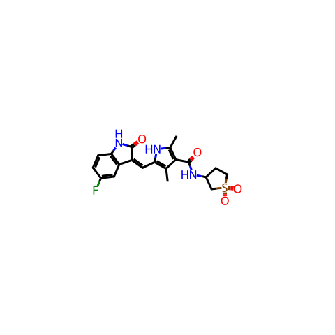 Cc1[nH]c(/C=C2\C(=O)Nc3ccc(F)cc32)c(C)c1C(=O)NC1CCS(=O)(=O)C1